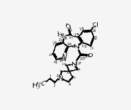 CCCN1CCC2(C1)CN(C(=O)N1c3ccc(Cl)cc3C(=O)Nc3cccnc31)C2